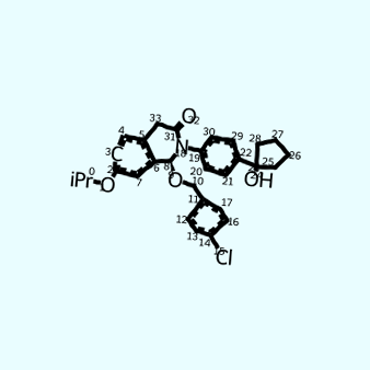 CC(C)Oc1ccc2c(c1)[C@H](OCc1ccc(Cl)cc1)N(c1ccc(C3(O)CCCC3)cc1)C(=O)C2